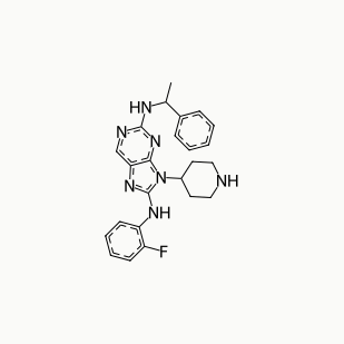 CC(Nc1ncc2nc(Nc3ccccc3F)n(C3CCNCC3)c2n1)c1ccccc1